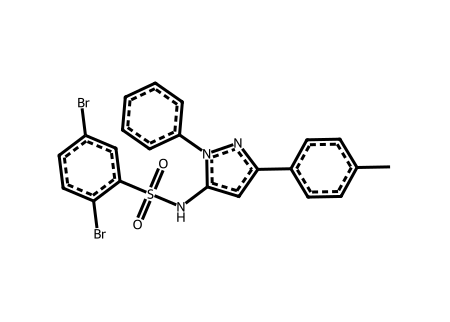 Cc1ccc(-c2cc(NS(=O)(=O)c3cc(Br)ccc3Br)n(-c3ccccc3)n2)cc1